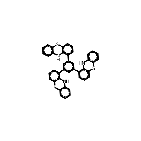 c1ccc2c(c1)Nc1c(cccc1-c1cc(-c3cccc4c3Nc3ccccc3S4)cc(-c3cccc4c3Nc3ccccc3S4)c1)S2